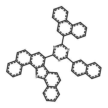 c1ccc2cc(-c3nc(-c4cc5ccccc5c5ccccc45)nc(-c4cc5ccc6ccccc6c5c5sc6c7ccccc7ccc6c45)n3)ccc2c1